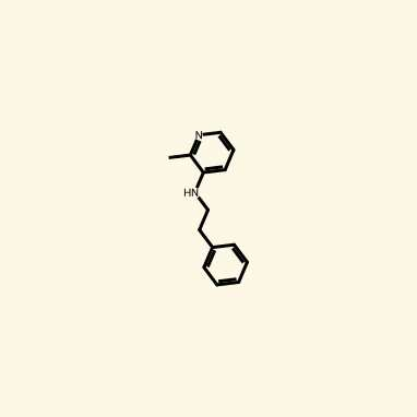 Cc1ncccc1NCCc1ccccc1